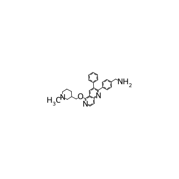 CN1CCCC(COc2nccc3nc(-c4ccc(CN)cc4)c(-c4ccccc4)cc23)C1